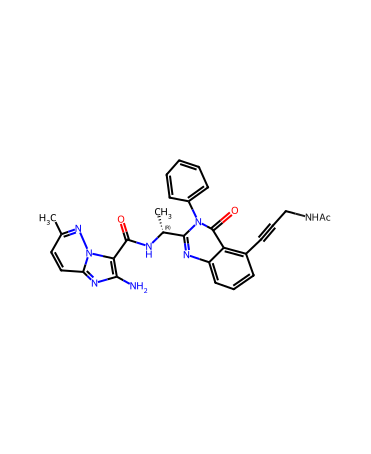 CC(=O)NCC#Cc1cccc2nc([C@@H](C)NC(=O)c3c(N)nc4ccc(C)nn34)n(-c3ccccc3)c(=O)c12